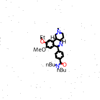 CCCCN(CCCC)C(=O)c1ccc(C2=N[C@@H]3CCN(C)C[C@@H]3c3cc(OCC)c(OC)cc32)cc1